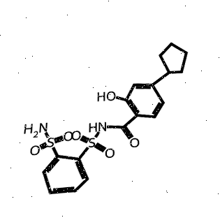 NS(=O)(=O)c1ccccc1S(=O)(=O)NC(=O)c1ccc(C2CCCC2)cc1O